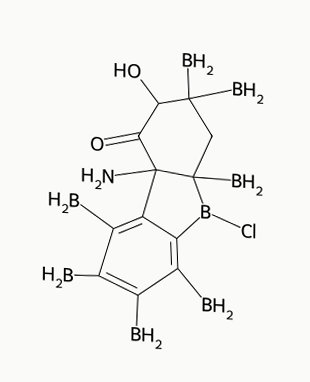 Bc1c(B)c(B)c2c(c1B)B(Cl)C1(B)CC(B)(B)C(O)C(=O)C21N